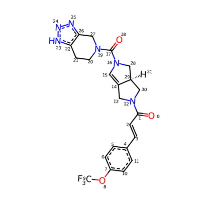 O=C(/C=C/c1ccc(OC(F)(F)F)cc1)N1CC2=CN(C(=O)N3CCc4[nH]nnc4C3)C[C@H]2C1